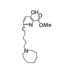 COC(=O)c1nc(CCCCCN2CCCCCCC2)ccc1O